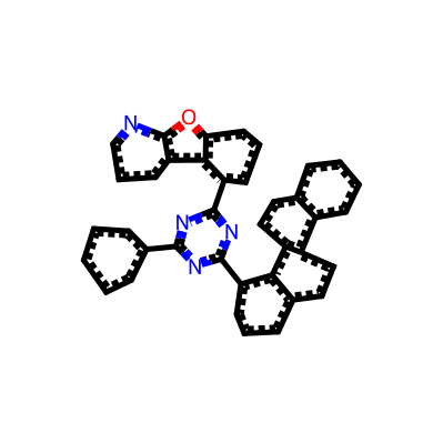 c1ccc(-c2nc(-c3cccc4ccc5c6ccccc6ccc5c34)nc(-c3cccc4oc5ncccc5c34)n2)cc1